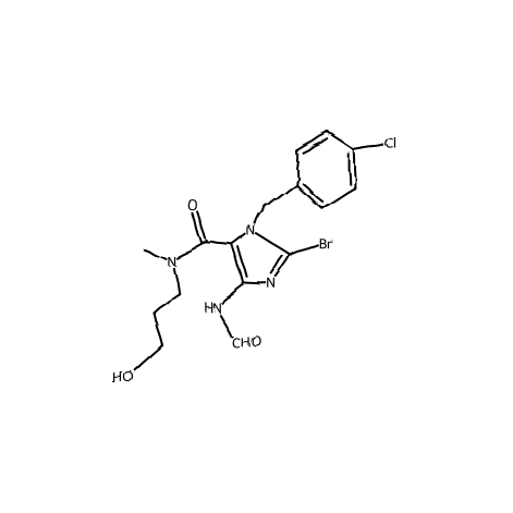 CN(CCCO)C(=O)c1c(NC=O)nc(Br)n1Cc1ccc(Cl)cc1